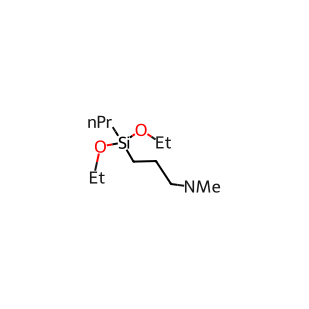 CCC[Si](CCCNC)(OCC)OCC